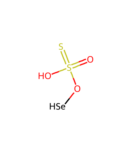 O=S(O)(=S)O[SeH]